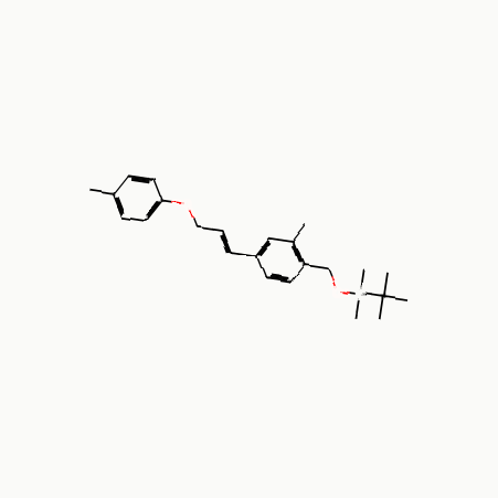 Cc1ccc(OCC=Cc2ccc(CO[Si](C)(C)C(C)(C)C)c(C)c2)cc1